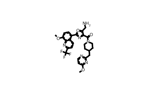 COc1ccnc(CC2CCN(C(=O)c3nc(-c4ccc(OC)c5nc(C(F)(F)F)ccc45)oc3CN)CC2)n1